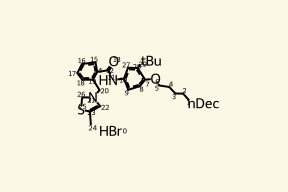 Br.CCCCCCCCCCCCCCOc1ccc(NC(=O)c2ccccc2CN2C=C(C)SC2)cc1C(C)(C)C